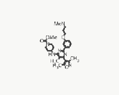 CNCCCOc1cccc(-c2nc(NC3CCN(C(=O)OC)CC3)c(C)c(-c3c(C)noc3C)n2)c1